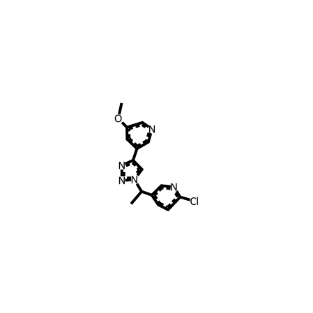 COc1cncc(-c2cn(C(C)c3ccc(Cl)nc3)nn2)c1